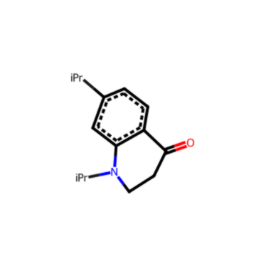 CC(C)c1ccc2c(c1)N(C(C)C)CCC2=O